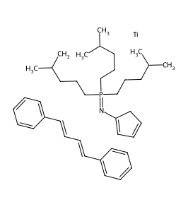 C(C=Cc1ccccc1)=Cc1ccccc1.CC(C)CCCP(CCCC(C)C)(CCCC(C)C)=NC1=CC=CC1.[Ti]